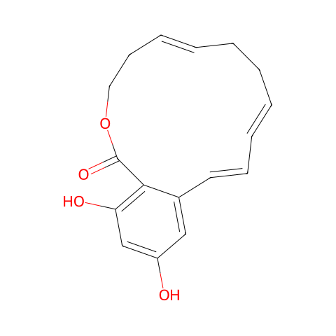 O=C1OCC/C=C/CC/C=C/C=C/c2cc(O)cc(O)c21